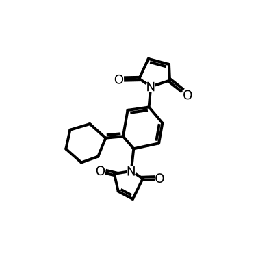 O=C1C=CC(=O)N1C1=CC(=C2CCCCC2)C(N2C(=O)C=CC2=O)C=C1